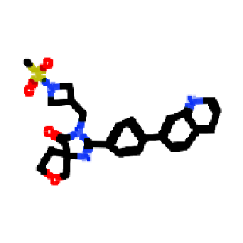 CS(=O)(=O)N1CC(CN2C(=O)C3(CCOC3)N=C2c2ccc(-c3ccc4cccnc4c3)cc2)C1